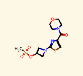 CS(=O)(=O)OC1CN(c2nc(C(=O)N3CCOCC3)cs2)C1